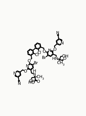 C[C@](C=O)(CO)NCc1cc(Br)c(OCc2cccc(-c3cccc(COc4nc(OCc5cncc(C#N)c5)c(CN[C@](C)(CO)C(=O)O)cc4Br)c3Cl)c2Cl)nc1OCc1cncc(C#N)c1